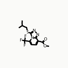 COC(=O)c1ccc(C(F)(F)F)n2c(SCC(C)C)nnc12